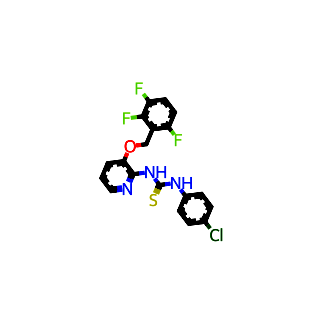 Fc1ccc(F)c(COc2cccnc2NC(=S)Nc2ccc(Cl)cc2)c1F